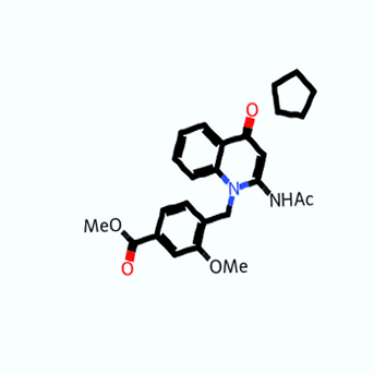 C1CCCC1.COC(=O)c1ccc(Cn2c(NC(C)=O)cc(=O)c3ccccc32)c(OC)c1